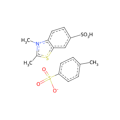 Cc1ccc(S(=O)(=O)[O-])cc1.Cc1sc2cc(S(=O)(=O)O)ccc2[n+]1C